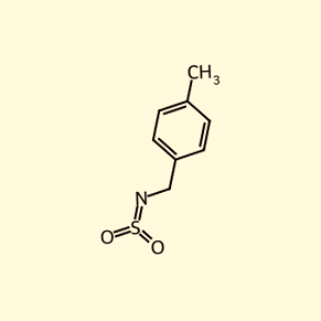 Cc1ccc(CN=S(=O)=O)cc1